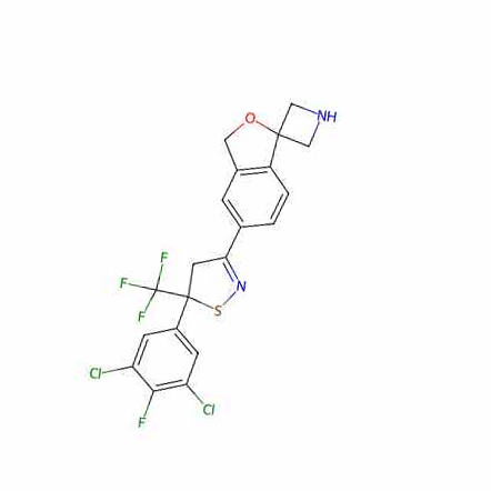 Fc1c(Cl)cc(C2(C(F)(F)F)CC(c3ccc4c(c3)COC43CNC3)=NS2)cc1Cl